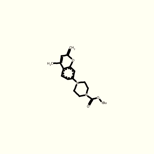 C=C1C=C(C)c2ccc(N3CCN(C(=O)OC(C)(C)C)CC3)cc2O1